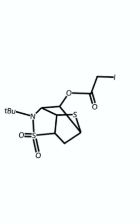 CC(C)(C)N1C2C(OC(=O)CI)C3CC(C2S3)S1(=O)=O